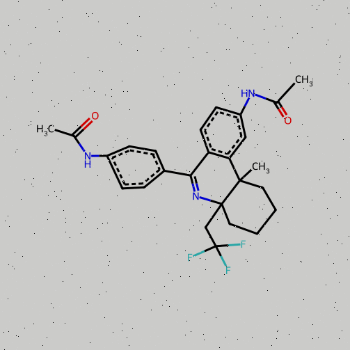 CC(=O)Nc1ccc(C2=NC3(CC(F)(F)F)CCCCC3(C)c3cc(NC(C)=O)ccc32)cc1